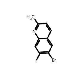 Cc1ccc2cc(Br)c(I)cc2n1